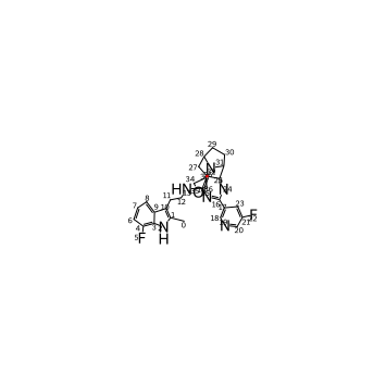 Cc1[nH]c2c(F)cccc2c1CCNc1nc(-c2cncc(F)c2)nc2c1CC1CCC2N1C1COC1